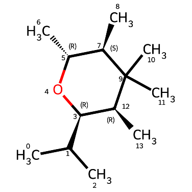 CC(C)[C@H]1O[C@H](C)[C@@H](C)C(C)(C)[C@H]1C